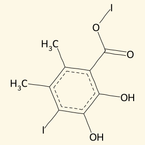 Cc1c(C)c(C(=O)OI)c(O)c(O)c1I